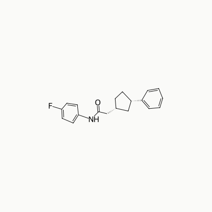 O=C(C[C@@H]1CC[C@H](c2ccccc2)C1)Nc1ccc(F)cc1